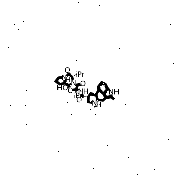 Cc1[nH]c2cccc3c2c1C[C@@H]1C3=C[C@@H](C(=O)N[C@]2(C(C)C)O[C@@]3(O)[C@@H]4CCCN4C(=O)[C@H](C(C)C)N3C2=O)CN1C